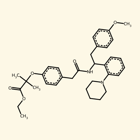 CCOC(=O)C(C)(C)Oc1ccc(CC(=O)NC(Cc2ccc(OC)cc2)c2ccccc2N2CCCCC2)cc1